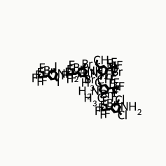 CCc1cc(C(F)(C(F)(F)F)C(F)(F)Br)cc(C)c1N.Cc1cc(C(F)(C(F)(F)F)C(F)(F)Br)cc(C)c1N.Nc1c(Br)cc(C(F)(C(F)(F)F)C(F)(F)Br)cc1Br.Nc1c(Cl)cc(C(F)(C(F)(F)F)C(F)(F)Br)cc1Cl.Nc1c(I)cc(C(F)(C(F)(F)F)C(F)(F)Br)cc1I